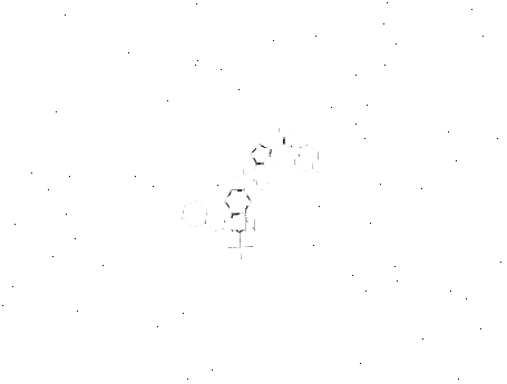 CC(C)(C)c1nc2cc(S(=O)(=O)c3ccc(C(=O)N4CCOCC4)o3)ccc2n1CC1CCCCC1